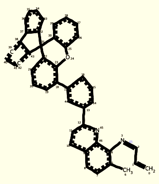 C=C/C=N\c1c(C)ccc2ccc(-c3cccc(-c4cccc5c4Oc4ccccc4C54c5ccccc5-c5ccccc54)c3)nc12